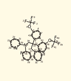 FC(F)(F)Oc1cccc(C(Cc2ccccc2)(CN(c2ccccn2)c2ccccn2)c2cccc(OC(F)(F)F)c2)c1